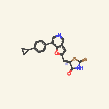 O=C1NC(=S)S/C1=C\c1cc2cncc(-c3ccc(C4CC4)cc3)c2o1